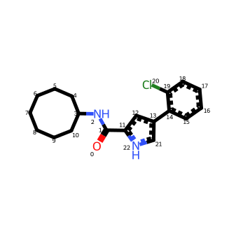 O=C(NC1CCCCCCC1)c1cc(-c2ccccc2Cl)c[nH]1